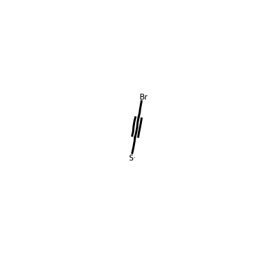 [S]C#CBr